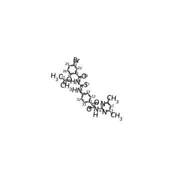 Cc1cc(C)nc(NS(=O)(=O)c2ccc(NC(=S)NC(=O)c3cc(Br)ccc3OC(C)C)cc2)n1